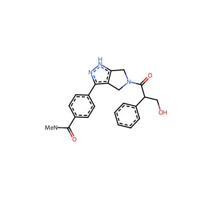 CNC(=O)c1ccc(-c2n[nH]c3c2CN(C(=O)C(CO)c2ccccc2)C3)cc1